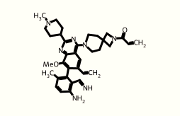 C=CC(=O)N1CC2(CCN(c3nc(C4CCN(C)CC4)nc4c(OC)c(-c5c(C)ccc(N)c5C=N)c(C=C)cc34)CC2)C1